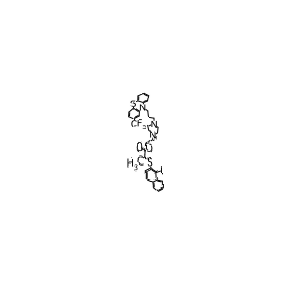 CC(Sc1ccc2ccccc2c1I)C(=O)OCCN1CCN(CCCN2c3ccccc3Sc3ccc(C(F)(F)F)cc32)CC1